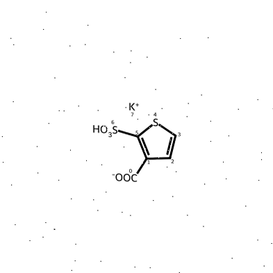 O=C([O-])c1ccsc1S(=O)(=O)O.[K+]